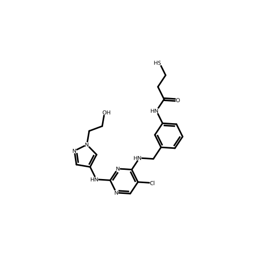 O=C(CCS)Nc1cccc(CNc2nc(Nc3cnn(CCO)c3)ncc2Cl)c1